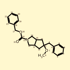 COC1(Cc2ccccc2)CC2CN(C(=O)OCc3ccccc3)CC2C1